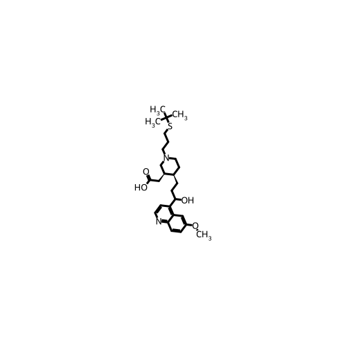 COc1ccc2nccc(C(O)CC[C@@H]3CCN(CCCSC(C)(C)C)C[C@@H]3CC(=O)O)c2c1